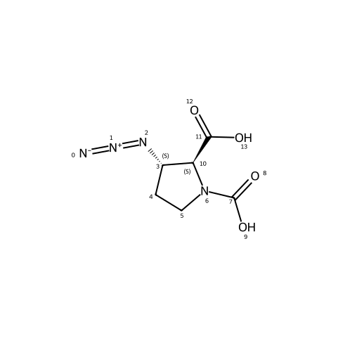 [N-]=[N+]=N[C@H]1CCN(C(=O)O)[C@@H]1C(=O)O